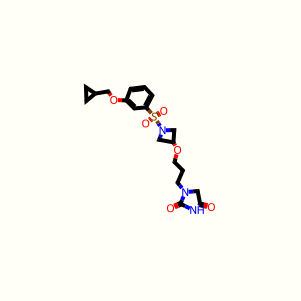 O=C1CN(CCCOC2CN(S(=O)(=O)c3cccc(OCC4CC4)c3)C2)C(=O)N1